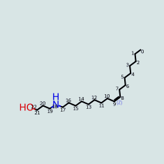 CCCCCCCC/C=C\CCCCCCCCNCCCO